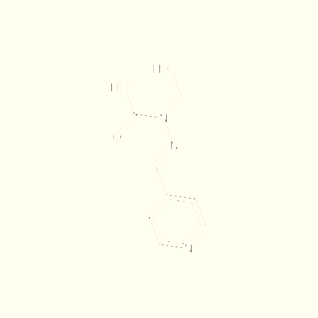 CCN(N=Cc1ccncc1)C(=O)O